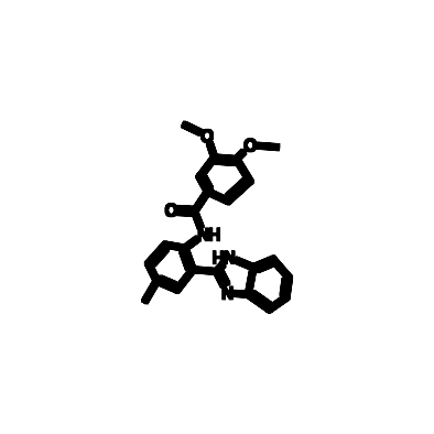 COc1ccc(C(=O)Nc2ccc(C)cc2-c2nc3ccccc3[nH]2)cc1OC